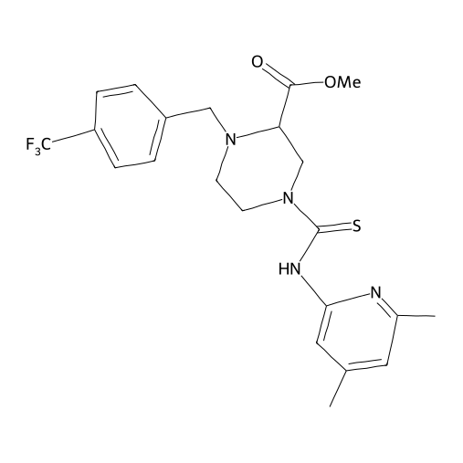 COC(=O)C1CN(C(=S)Nc2cc(C)cc(C)n2)CCN1Cc1ccc(C(F)(F)F)cc1